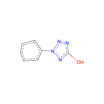 Oc1nnn(-c2[c]cccc2)n1